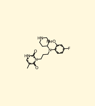 COc1cc(F)ccc1N(CCCn1c(=O)[nH]cc(C)c1=O)C1CCNCC1